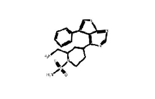 NCC1CC(c2ncnc3scc(-c4ccccc4)c23)CCN1S(N)(=O)=O